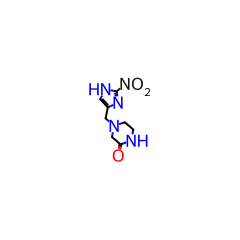 O=C1CN(Cc2c[nH]c([N+](=O)[O-])n2)CCN1